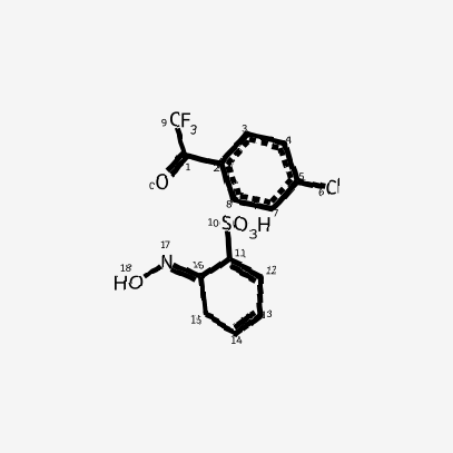 O=C(c1ccc(Cl)cc1)C(F)(F)F.O=S(=O)(O)C1=CC=CCC1=NO